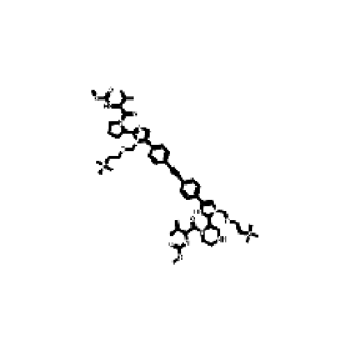 COC(=O)NC(C(=O)N1CCCC1c1ncc(-c2ccc(C#Cc3ccc(C4=CN(COCC[Si](C)(C)C)C(C5CNCCN5C(=O)C(NC(=O)OC)C(C)C)N4)cc3)cc2)n1COCC[Si](C)(C)C)C(C)C